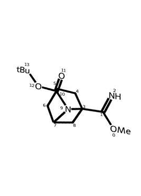 COC(=N)C12CCCC(C1)N2C(=O)OC(C)(C)C